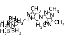 BC(B)(B)N(CCCCCn1nc(C)c2c1CCN(c1nc(C)nc3c(C)nn(C)c13)C2)C(B)(B)B